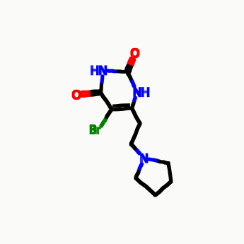 O=c1[nH]c(CCN2CCCC2)c(Br)c(=O)[nH]1